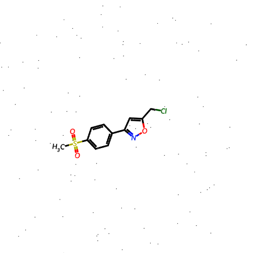 CS(=O)(=O)c1ccc(-c2cc(CCl)on2)cc1